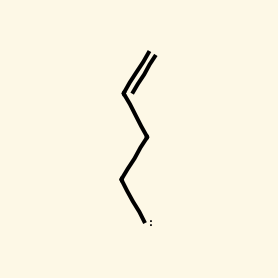 [CH]CCC=C